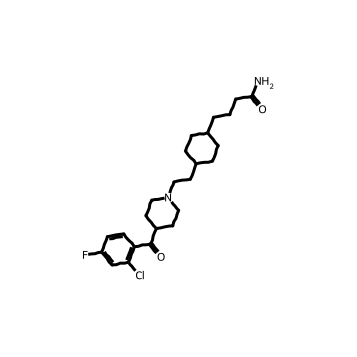 NC(=O)CCCC1CCC(CCN2CCC(C(=O)c3ccc(F)cc3Cl)CC2)CC1